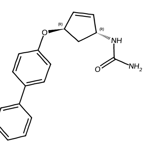 NC(=O)N[C@H]1C=C[C@H](Oc2ccc(-c3ccccc3)cc2)C1